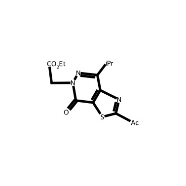 CCOC(=O)Cn1nc(C(C)C)c2nc(C(C)=O)sc2c1=O